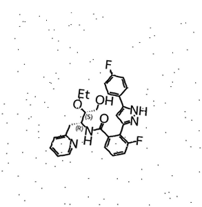 CCO[C@H](CO)[C@@H](Cc1ccccn1)NC(=O)c1cccc(F)c1-c1cc(-c2ccc(F)cc2)[nH]n1